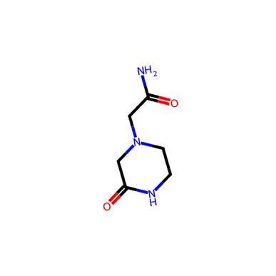 NC(=O)CN1CCNC(=O)C1